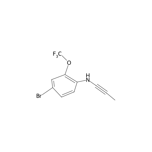 CC#CNc1ccc(Br)cc1OC(F)(F)F